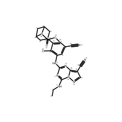 CCNc1nc(Nc2cc(C#N)cc(N3CC4CC(C3)N4C(=O)OC)c2Cl)nc2c(C#N)cnn12